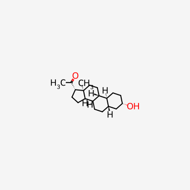 CC(=O)[C@H]1CC[C@H]2[C@@H]3CC[C@H]4C[C@@H](O)CC[C@@H]4[C@H]3CC[C@]12C